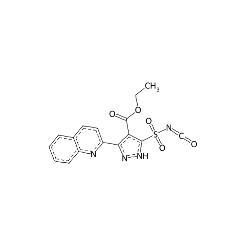 CCOC(=O)c1c(-c2ccc3ccccc3n2)n[nH]c1S(=O)(=O)N=C=O